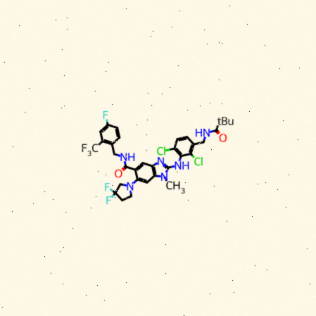 Cn1c(Nc2c(Cl)ccc(CNC(=O)C(C)(C)C)c2Cl)nc2cc(C(=O)NCc3ccc(F)cc3C(F)(F)F)c(N3CCC(F)(F)C3)cc21